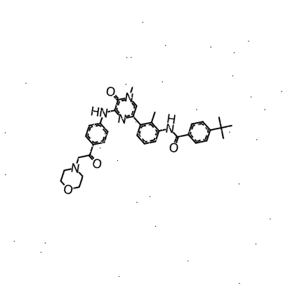 Cc1c(NC(=O)c2ccc(C(C)(C)C)cc2)cccc1-c1cn(C)c(=O)c(Nc2ccc(C(=O)CN3CCOCC3)cc2)n1